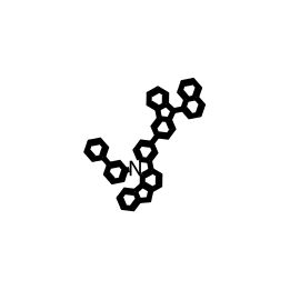 c1ccc(-c2cccc(-n3c4ccc(-c5ccc6c(c5)-c5ccccc5C6c5cccc6ccccc56)cc4c4ccc5c(c43)-c3ccccc3C5)c2)cc1